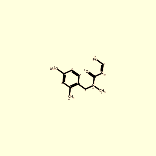 COc1ccc(CN(C)C(=O)/N=C\C(C)C)c(C)c1